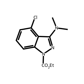 CCOC(=O)n1nc(N(C)C)c2c(Cl)cccc21